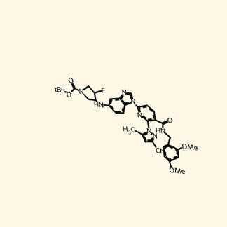 COc1ccc(CNC(=O)c2ccc(-n3cnc4cc(NC5CN(C(=O)OC(C)(C)C)CC5F)ccc43)nc2-n2nc(C#N)cc2C)c(OC)c1